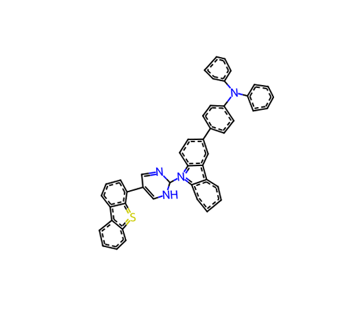 C1=NC(n2c3ccccc3c3cc(-c4ccc(N(c5ccccc5)c5ccccc5)cc4)ccc32)NC=C1c1cccc2c1sc1ccccc12